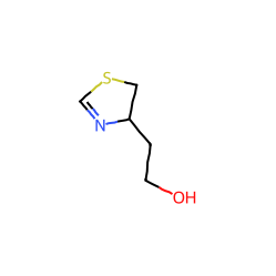 OCCC1CSC=N1